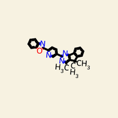 Cc1nc(-c2ccc(-c3nc4ccccc4o3)nc2)nc2c1C(C)(C)c1ccccc1-2